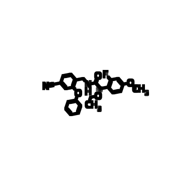 CCO[C@H](C(=O)NCc1ccc(C#N)cc1Oc1ccccc1)c1ccc(OC)cc1F